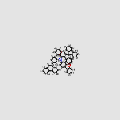 c1ccc(-c2ccc(-c3cc4ccccc4c4ccccc34)cc2N(c2ccc3c(c2)oc2ccccc23)c2cccc3c2-c2ccccc2C3(c2ccccc2)c2ccccc2)cc1